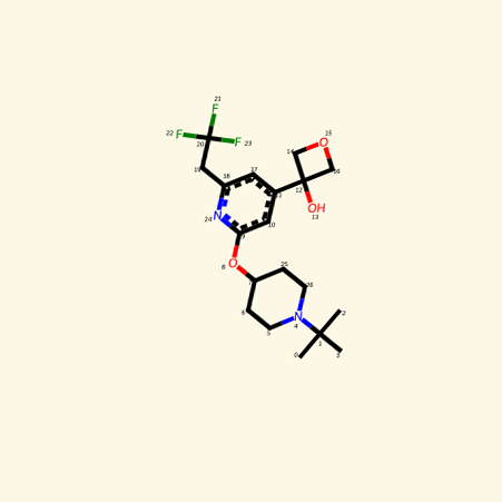 CC(C)(C)N1CCC(Oc2cc(C3(O)COC3)cc(CC(F)(F)F)n2)CC1